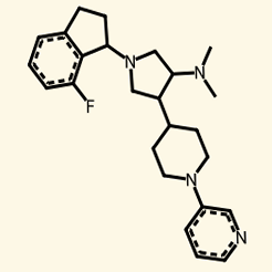 CN(C)C1CN(C2CCc3cccc(F)c32)CC1C1CCN(c2cccnc2)CC1